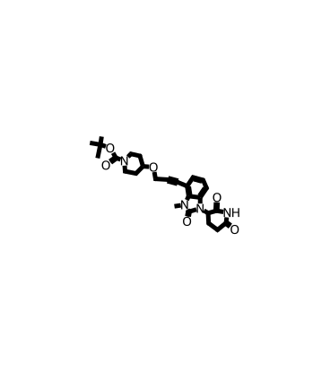 Cn1c(=O)n(C2CCC(=O)NC2=O)c2cccc(C#CCOC3CCN(C(=O)OC(C)(C)C)CC3)c21